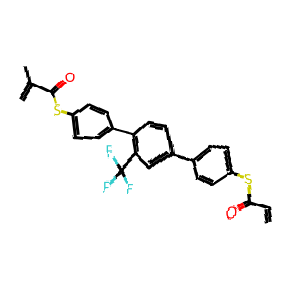 C=CC(=O)Sc1ccc(-c2ccc(-c3ccc(SC(=O)C(=C)C)cc3)c(C(F)(F)F)c2)cc1